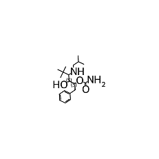 CC(C)CNC([C@H](O)[C@H](Cc1ccccc1)OC(N)=O)C(C)(C)C